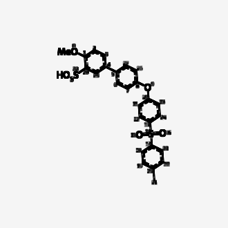 COc1ccc(-c2ccc(Oc3ccc(S(=O)(=O)c4ccc(C)cc4)cc3)cc2)cc1S(=O)(=O)O